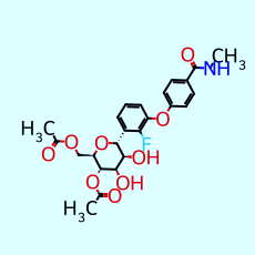 CNC(=O)c1ccc(Oc2cccc([C@H]3O[C@H](COC(C)=O)[C@@H](OC(C)=O)[C@H](O)[C@@H]3O)c2F)cc1